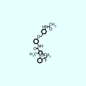 CC(=O)Nc1ccc(COc2cccc(NC(=O)c3cc(C)n(-c4ccccc4C(F)(F)F)c3C)c2)cc1